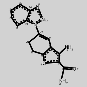 NC(=O)c1oc2c(c1N)C=C(n1nnc3ccccc31)CC2